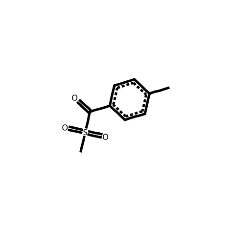 Cc1ccc(C(=O)S(C)(=O)=O)cc1